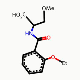 CCOc1ccccc1C(=O)NC(COC)C(=O)O